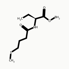 BOC(=O)[C@H](CC)NC(=O)CCCSC